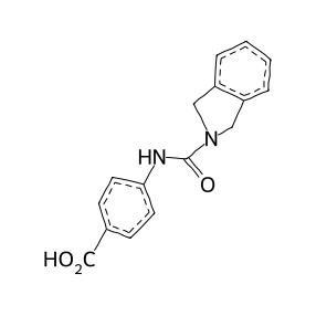 O=C(O)c1ccc(NC(=O)N2Cc3ccccc3C2)cc1